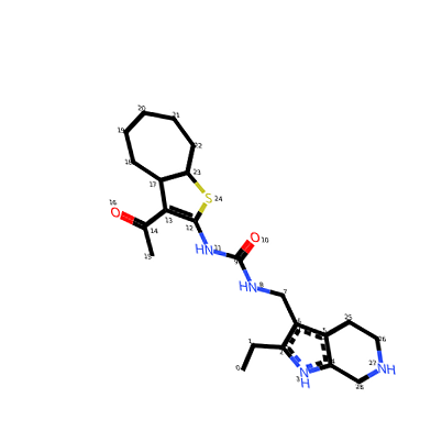 CCc1[nH]c2c(c1CNC(=O)NC1=C(C(C)=O)C3CCCCCC3S1)CCNC2